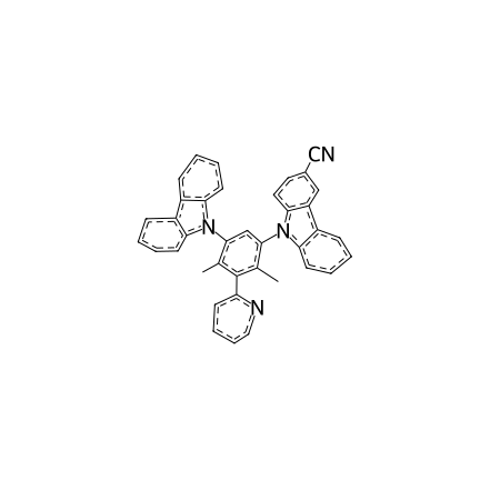 Cc1c(-n2c3ccccc3c3ccccc32)cc(-n2c3ccccc3c3cc(C#N)ccc32)c(C)c1-c1ccccn1